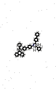 NC(/C=C(\NCc1ccccc1)c1ccc(-c2ccc(-n3c(-c4ccccn4)nc4c5ccccc5c5ncccc5c43)cc2)cc1)c1ccc(-c2ccccc2)cc1